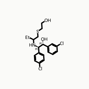 CCC(CSCCO)N[C@H](c1ccc(Cl)cc1)[C@H](O)c1cccc(Cl)c1